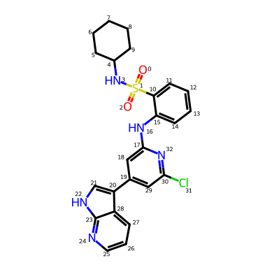 O=S(=O)(NC1CCCCC1)c1ccccc1Nc1cc(-c2c[nH]c3ncccc23)cc(Cl)n1